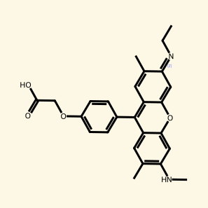 CC/N=c1/cc2oc3cc(NC)c(C)cc3c(-c3ccc(OCC(=O)O)cc3)c-2cc1C